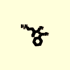 CCCN(C1CCCCC1)N(C(=O)CCN)C(C)C